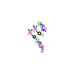 CCN(CC)C(=O)SCc1ccc(Cl)cc1.CCN(CC)C(=O)SCc1ccc(Cl)cc1.CNC(=O)N(C)c1nnc(C(F)(F)F)s1.CNC(=O)N(C)c1nnc(C(F)(F)F)s1